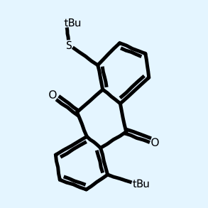 CC(C)(C)Sc1cccc2c1C(=O)c1cccc(C(C)(C)C)c1C2=O